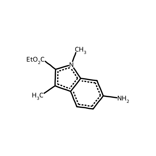 CCOC(=O)c1c(C)c2ccc(N)cc2n1C